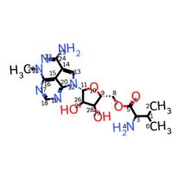 CC(C)C(N)C(=O)OC[C@H]1O[C@@H](n2cc3c4c(ncnc42)N(C)N=C3N)C(O)C1O